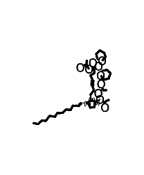 CCCCCCCCCCCC=C[C@H]1CC[C@H](OC(C)=O)[C@@H]1CC(C#CCCC(OC(C)=O)(OC1CCCCO1)OC1CCCCO1)OC(C)=O